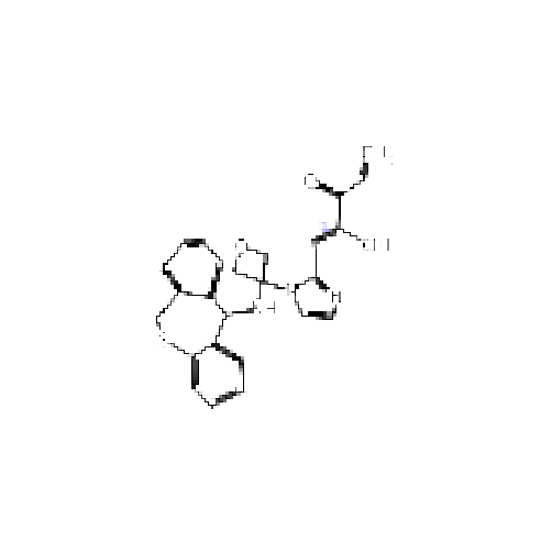 C=CC(=O)/C(O)=C/c1nccn1C1(NC2c3ccccc3CSc3ccccc32)COC1